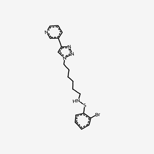 Brc1ccccc1SNCCCCCCn1cc(-c2cccnc2)nn1